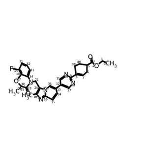 CCOC(=O)C1CC=C(c2ncc(-c3ccc4nc(C)c(CN5C(=O)[C@@H](C)Oc6c(F)cccc65)n4c3)cn2)CC1